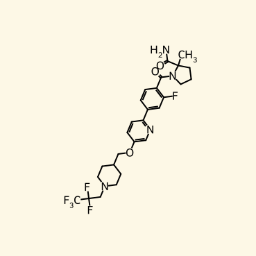 CC1(C(N)=O)CCCN1C(=O)c1ccc(-c2ccc(OCC3CCN(CC(F)(F)C(F)(F)F)CC3)cn2)cc1F